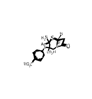 CCOC(=O)c1ccc(SC2(C(=O)O)CN3C(=O)C[C@H]3SC2(N)C(C)=O)cc1